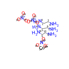 NCCN.NCCN.NCCN.O=[N+]([O-])[O-].O=[N+]([O-])[O-].O=[N+]([O-])[O-].[Co+3]